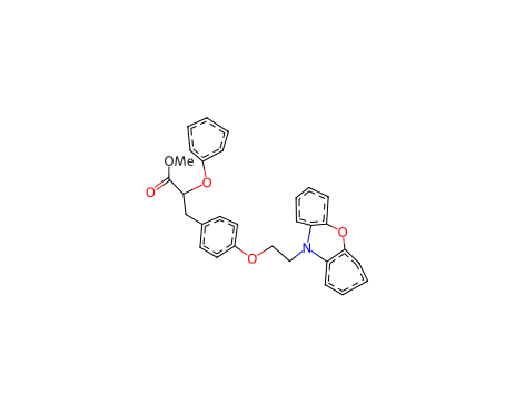 COC(=O)C(Cc1ccc(OCCN2c3ccccc3Oc3ccccc32)cc1)Oc1ccccc1